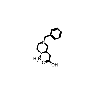 BN1CCN(Cc2ccccc2)CC1CC(=O)O